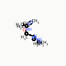 C=C/C(=C\N(C)C)Nc1cccn2c(C#Cc3cc(C(=O)Nc4cc(N5CCN(C)CC5)cc(C(C)(C)C)c4)ccc3C)cnc12